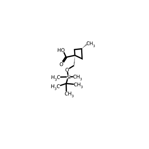 CC(C)(C)[Si](C)(C)OC[C@]1(C(=O)O)C[C@H](C)C1